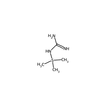 CS(C)(C)NC(=N)N